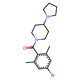 Cc1cc(Br)cc(C)c1C(=O)N1CCC(N2CCCC2)CC1